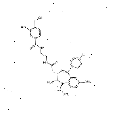 COc1ccc2c(c1)C(c1ccc(Cl)cc1)=N[C@@H](CC(=O)NCCNC(=O)c1ccc(CO)c(O)c1)C(N)N2C(C)N